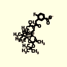 CC(C)N(C[C@@H](C)[C@H](CN(C)C(=O)OC(C)(C)C)O[Si](C)(C)C(C)(C)C)C(=O)Cc1cc([N+](=O)[O-])ccc1F